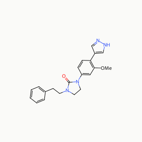 COc1cc(N2CCN(CCc3ccccc3)C2=O)ccc1-c1cn[nH]c1